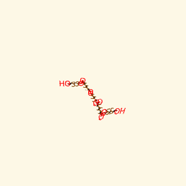 O=C(CSCSCCOOCSCSCOC(=O)CSCSCC(=O)OCSCSCCO)OCSCSCCO